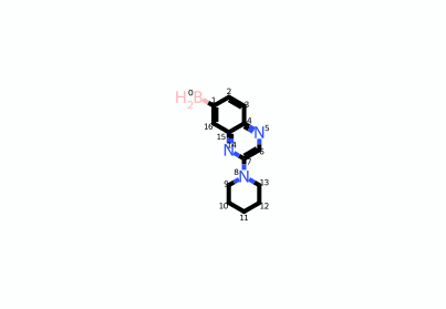 Bc1ccc2ncc(N3CCCCC3)nc2c1